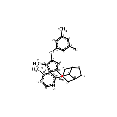 Cc1cc(Cl)cc(Oc2nc(NC3C4CCC3CN(c3cc(C)ncn3)C4)nn2C)c1